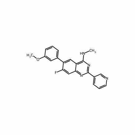 CNc1nc(-c2cccnc2)nc2cc(F)c(-c3cccc(OC)c3)cc12